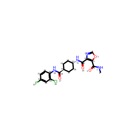 CNC(=O)c1ocnc1C(=O)N[C@H]1CC[C@H](C(=O)Nc2ccc(F)cc2Cl)CC1